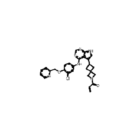 C=CC(=O)N1CC2(CC(c3c[nH]c4ncnc(Nc5ccc(OCc6ccccn6)c(Cl)c5)c34)C2)C1